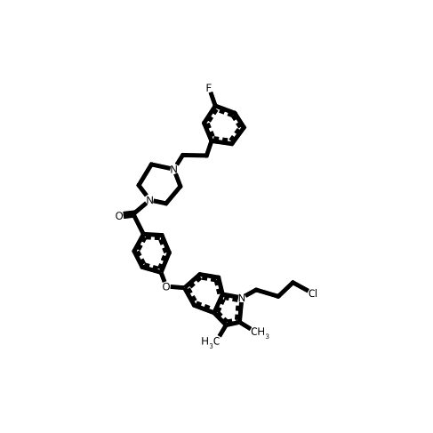 Cc1c(C)n(CCCCl)c2ccc(Oc3ccc(C(=O)N4CCN(CCc5cccc(F)c5)CC4)cc3)cc12